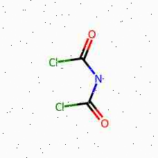 O=C(Cl)[N]C(=O)Cl